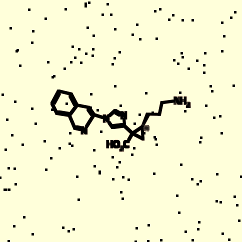 NCCC[C@H]1CC1(C(=O)O)c1cn(-c2cc3ccccc3cn2)cn1